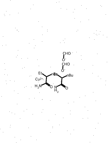 CCCCC(CC)C(N)=O.CCCCC(CC)C(N)=O.O=C[O-].O=C[O-].[Cu+2]